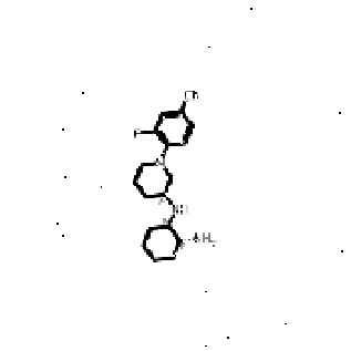 N#Cc1ccc(N2CCC[C@H](N[C@@H]3CCCC[C@H]3N)C2)c(F)c1